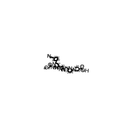 COCC(=O)Nc1nc(-c2cccc(C#N)c2)cc(-c2cn(Cc3cccc(N4CCC(C(=O)O)CC4)n3)nn2)n1